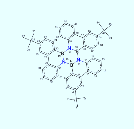 CC(C)(C)c1ccc2c(c1)-c1ccccc1N1B2N2B(c3ccc(C(C)(C)C)cc3-c3ccccc32)N2B1c1ccc(C(C)(C)C)cc1-c1ccccc12